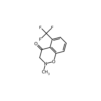 CN1CC(=O)c2c(cccc2C(F)(F)F)O1